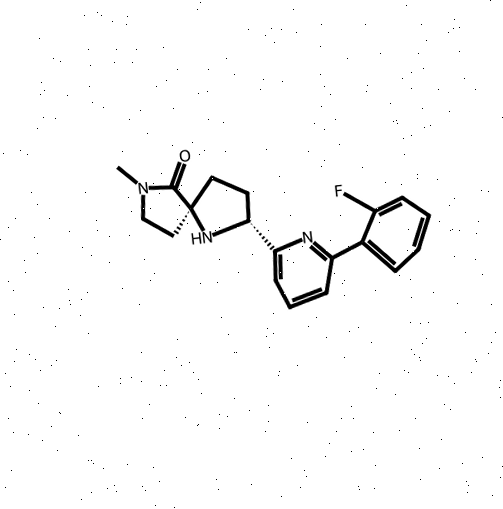 CN1CC[C@@]2(CC[C@H](c3cccc(-c4ccccc4F)n3)N2)C1=O